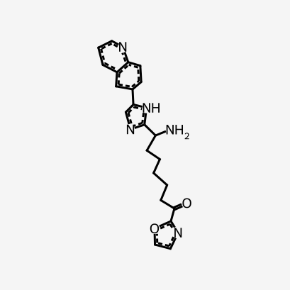 NC(CCCCCC(=O)c1ncco1)c1ncc(-c2ccc3ncccc3c2)[nH]1